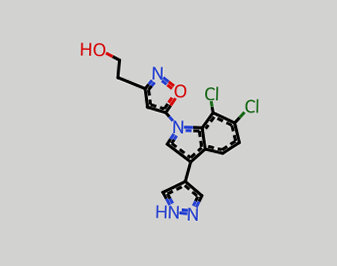 OCCc1cc(-n2cc(-c3cn[nH]c3)c3ccc(Cl)c(Cl)c32)on1